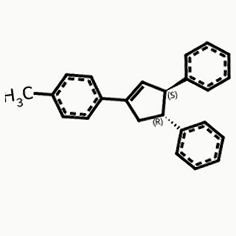 Cc1ccc(C2=C[C@@H](c3ccccc3)[C@H](c3ccccc3)C2)cc1